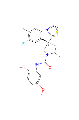 COc1ccc(OC)c(NC(=O)N2C[C@](c3ccc(C)c(F)c3)(c3nccs3)CC2C)c1